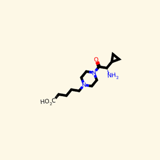 N[C@H](C(=O)N1CCN(CCCCC(=O)O)CC1)C1CC1